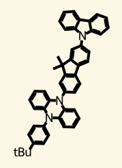 CC(C)(C)c1ccc(N2c3ccccc3N(c3ccc4c(c3)C(C)(C)c3cc(-n5c6ccccc6c6ccccc65)ccc3-4)c3ccccc32)cc1